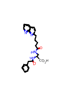 O=C(CCCCc1ccc2cccnc2n1)NCC(NC(=O)Cc1ccccc1)C(=O)O